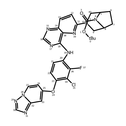 CC(C)(C)OC(=O)N1C2CCC1CN(c1ccc3ncnc(Nc4ccc(Oc5ccn6ncnc6c5)c(Cl)c4F)c3n1)C2